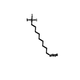 CCCCCCCCCCCCCCCC[Si](I)(I)I